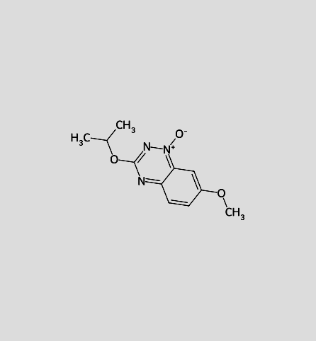 COc1ccc2nc(OC(C)C)n[n+]([O-])c2c1